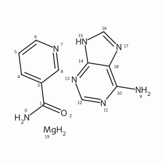 NC(=O)c1cccnc1.Nc1ncnc2[nH]cnc12.[MgH2]